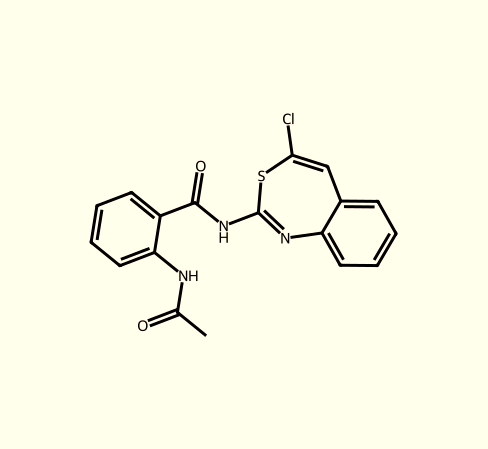 CC(=O)Nc1ccccc1C(=O)NC1=Nc2ccccc2C=C(Cl)S1